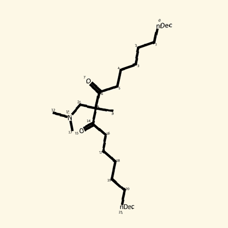 CCCCCCCCCCCCCCCC(=O)C(C)(CN(C)C)C(=O)CCCCCCCCCCCCCCC